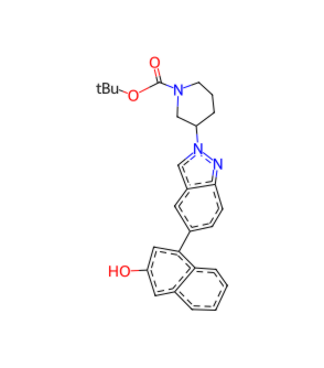 CC(C)(C)OC(=O)N1CCCC(n2cc3cc(-c4cc(O)cc5ccccc45)ccc3n2)C1